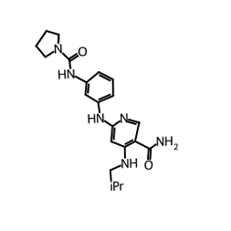 CC(C)CNc1cc(Nc2cccc(NC(=O)N3CCCC3)c2)ncc1C(N)=O